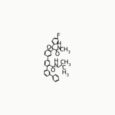 CNC(=O)c1c(-c2ccc(F)cc2)oc2ccc(-c3ccc(-c4cccc(-c5ccccc5)c4)c(C(=O)NCC(C)C)c3)cc12